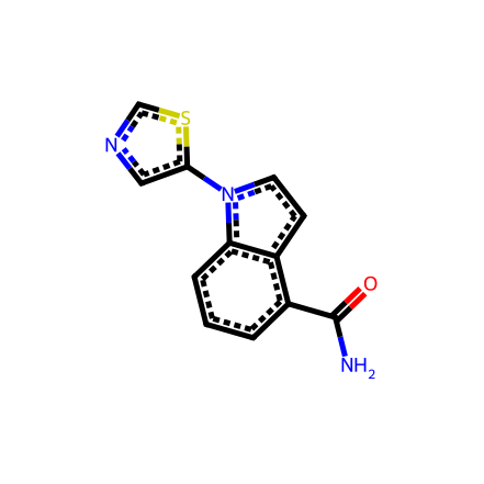 NC(=O)c1cccc2c1ccn2-c1cncs1